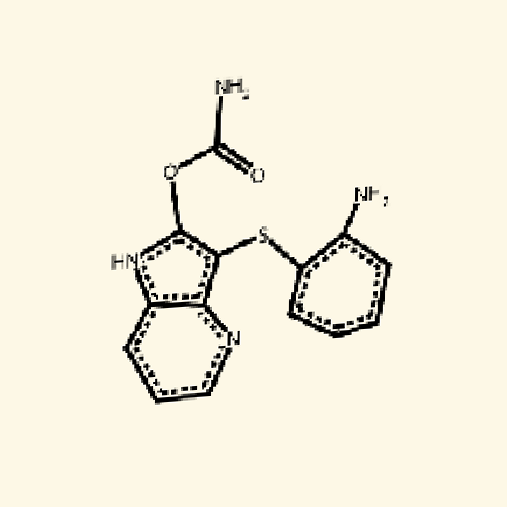 NC(=O)Oc1[nH]c2cccnc2c1Sc1ccccc1N